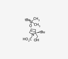 CC(C)(C)[C@]1(CO)C[C@@H](O[Si](C)(C)C(C)(C)C)CN1C(=O)O